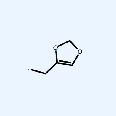 [CH2]CC1=COCO1